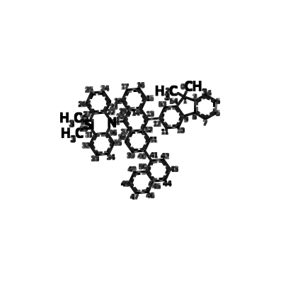 CC1(C)c2ccccc2-c2ccc(-c3c4ccccc4c(N4c5ccccc5[Si](C)(C)c5ccccc54)c4ccc(-c5cccc6ccccc56)cc34)cc21